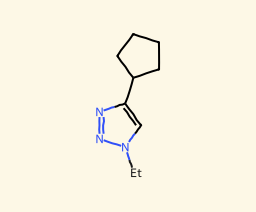 CCn1cc(C2CCCC2)nn1